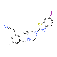 Cc1cc(CC#N)cc(CN2CCN(c3nc4ccc(I)cc4s3)C[C@@H]2C)c1